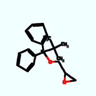 CC(C)(C)[Si](OCC1CO1)(c1ccccc1)c1ccccc1